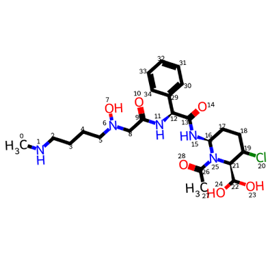 CNCCCCN(O)CC(=O)N[C@H](C(=O)N[C@H]1CCC(Cl)[C@@H](C(O)O)N1C(C)=O)c1ccccc1